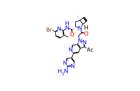 CC(=O)c1nn(CC(=O)N2[C@H](C(=O)Nc3nc(Br)ccc3C)C[C@@]3(C)C#C[C@@H]23)c2cnc(-c3cnc(N)nc3)cc12